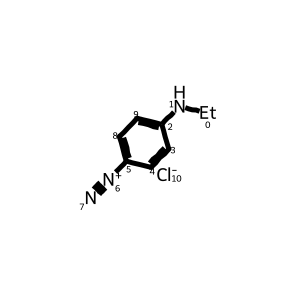 CCNc1ccc([N+]#N)cc1.[Cl-]